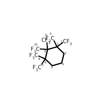 FC(F)(F)C1(C(F)(F)F)CCCC(C(F)(F)F)(C(F)(F)F)C1(C(F)(F)F)C(F)(F)F